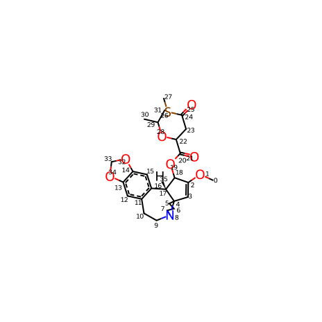 COC1=CC23CCCN2CCc2cc4c(cc2[C@@H]3C1OC(=O)C(CC(=O)SC)OC(C)C)OCO4